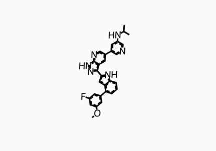 COc1cc(F)cc(-c2cccc3[nH]c(-c4n[nH]c5ncc(-c6cncc(NC(C)C)c6)cc45)cc23)c1